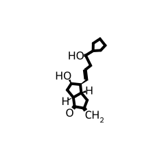 C=C1C[C@H]2[C@H](/C=C/CC(O)C3CCCC3)[C@H](O)C[C@@H]2C1=O